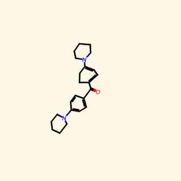 O=C(C1=CC=C(N2CCCCC2)CC1)c1ccc(N2CCCCC2)cc1